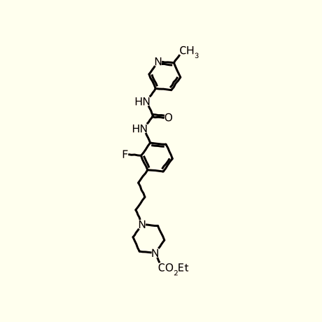 CCOC(=O)N1CCN(CCCc2cccc(NC(=O)Nc3ccc(C)nc3)c2F)CC1